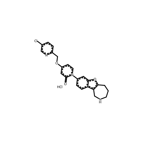 Cl.O=c1cc(OCc2ccc(Cl)cn2)ccn1-c1ccc2c3c(oc2c1)CCCNC3